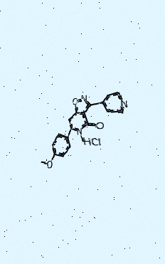 COc1ccc(-c2cc3onc(-c4ccncc4)c3c(=O)n2C)cc1.Cl